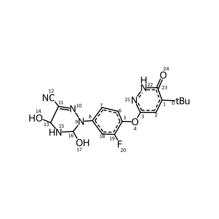 CC(C)(C)c1cc(Oc2ccc(N3N=C(C#N)C(O)NC3O)cc2F)n[nH]c1=O